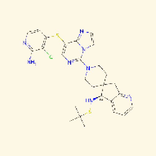 CC(C)(C)SN[C@@H]1c2cccnc2CC12CCN(c1ncc(Sc3ccnc(N)c3Cl)c3nccn13)CC2